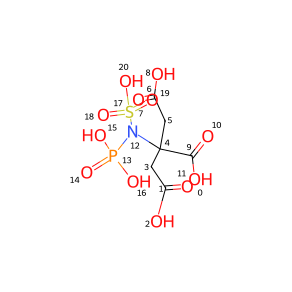 O=C(O)CC(CC(=O)O)(C(=O)O)N(P(=O)(O)O)S(=O)(=O)O